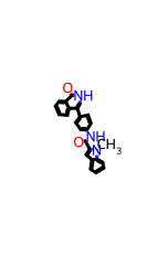 Cn1c(C(=O)Nc2ccc(-c3c[nH]c(=O)c4ccccc34)cc2)cc2ccccc21